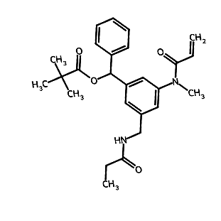 C=CC(=O)N(C)c1cc(CNC(=O)CC)cc(C(OC(=O)C(C)(C)C)c2ccccc2)c1